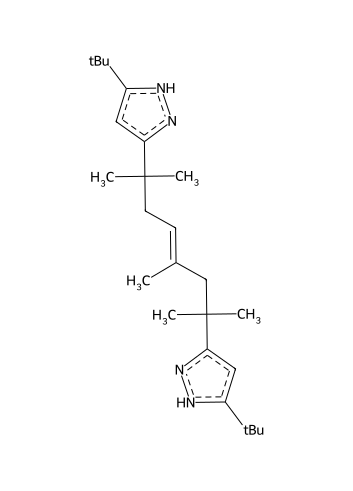 C/C(=C\CC(C)(C)c1cc(C(C)(C)C)[nH]n1)CC(C)(C)c1cc(C(C)(C)C)[nH]n1